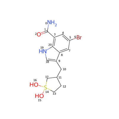 NC(=O)c1cc(Br)cc2c(CC3CCS(O)(O)C3)c[nH]c12